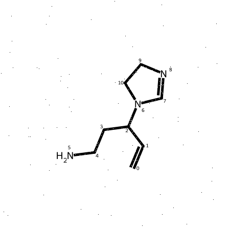 C=CC(CCN)N1C=NCC1